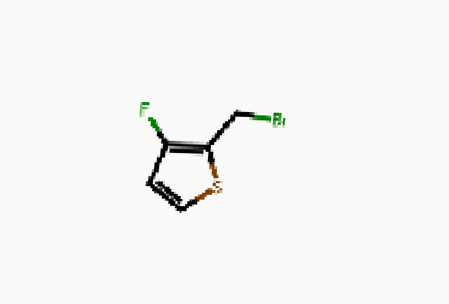 Fc1ccsc1CBr